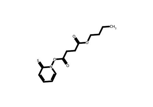 CCCCOC(=O)CCC(=O)On1ccccc1=S